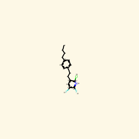 CCCCc1ccc(CCc2cc(F)c(F)nc2Cl)cc1